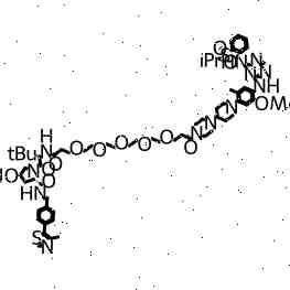 COc1cc(N2CCC(N3CCN(C(=O)CCOCCOCCOCCOCCOCCC(=O)N[C@H](C(=O)N4C[C@H](O)C[C@H]4C(=O)NCc4ccc(-c5scnc5C)cc4)C(C)(C)C)CC3)CC2)c(C)cc1Nc1ncnc(Nc2ccccc2S(=O)(=O)C(C)C)n1